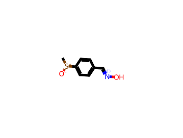 C[S+]([O-])c1ccc(/C=N/O)cc1